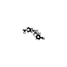 CC(=O)N1CCc2nc(NC(=O)Nc3cccc(C#N)c3)sc2C1